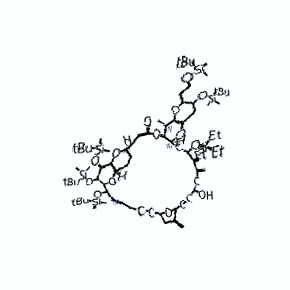 C=C1CC2CCC/C=C/C(O[Si](C)(C)C(C)(C)C)C3O[C@H]4CC[C@H](CC(=O)OC5[C@@H](C)C6OC(CCO[Si](C)(C)C(C)(C)C)C(O[Si](C)(C)C(C)(C)C)CC6O[C@H]5CC(O[Si](CC)(CC)CC)C(=C)C(C)CC(O)CCC1O2)OC4C(O[Si](C)(C)C(C)(C)C)C3O[Si](C)(C)C(C)(C)C